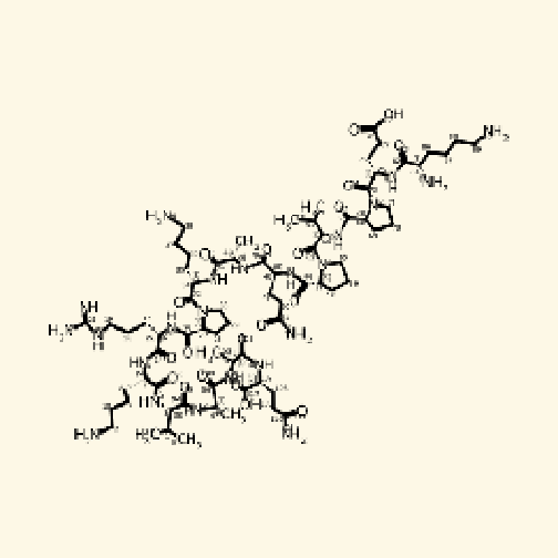 CC(C)[C@H](NC(=O)[C@H](CCCCN)NC(=O)[C@H](CCCNC(=N)N)NC(=O)[C@@H]1CCCN1C(=O)[C@H](CCCCN)NC(=O)[C@H](C)NC(=O)[C@H](CCC(N)=O)NC(=O)[C@H]1CCCN1C(=O)[C@@H](NC(=O)[C@@H]1CCCN1C(=O)[C@H](CCC(=O)O)NC(=O)[C@@H](N)CCCCN)C(C)C)C(=O)N[C@@H](C)C(=O)N[C@@H](C)C(=O)N[C@@H](CCC(N)=O)C(=O)O